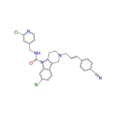 N#Cc1ccc(C=CCN2CCc3c(c4ccc(Br)cc4n3C(=O)NCc3ccnc(Cl)c3)C2)cc1